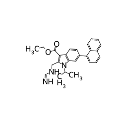 CCOC(=O)c1c(CNC=N)n(C(C)C)c2cc(-c3cccc4ccccc34)ccc12